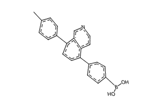 Cc1ccc(-c2ccc(-c3ccc(B(O)O)cc3)c3ccncc23)cc1